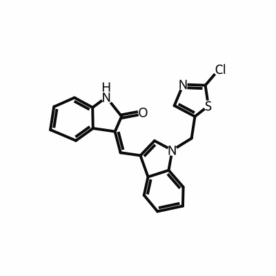 O=C1Nc2ccccc2C1=Cc1cn(Cc2cnc(Cl)s2)c2ccccc12